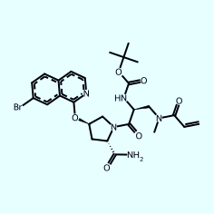 C=CC(=O)N(C)C[C@H](NC(=O)OC(C)(C)C)C(=O)N1C[C@H](Oc2nccc3ccc(Br)cc23)C[C@H]1C(N)=O